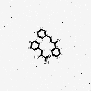 O=C(C=Cc1ccccc1)c1ccccc1.O=C(O)C(S)=Cc1ccccc1